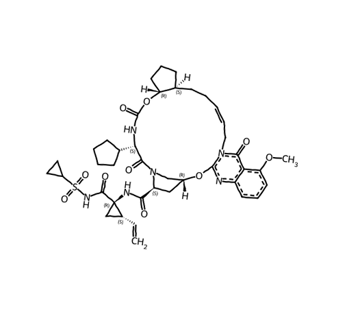 C=C[C@@H]1C[C@]1(NC(=O)[C@@H]1C[C@@H]2CN1C(=O)[C@H](C1CCCC1)NC(=O)O[C@@H]1CCC[C@H]1CCC=CCn1c(nc3cccc(OC)c3c1=O)O2)C(=O)NS(=O)(=O)C1CC1